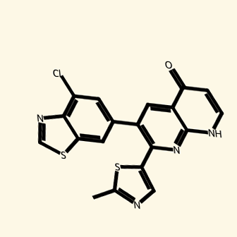 Cc1ncc(-c2nc3[nH]ccc(=O)c3cc2-c2cc(Cl)c3ncsc3c2)s1